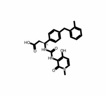 Cc1ccccc1Cc1ccc([C@H](CC(=O)O)NC(=O)Nc2c(O)ccn(C)c2=O)cc1